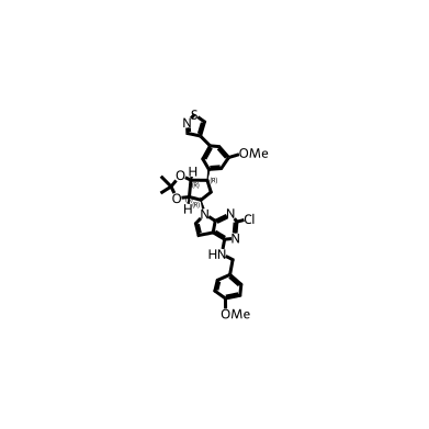 COc1ccc(CNc2nc(Cl)nc3c2ccn3[C@@H]2C[C@H](c3cc(OC)cc(-c4cnsc4)c3)[C@H]3OC(C)(C)O[C@H]32)cc1